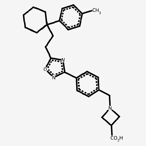 Cc1ccc(C2(CCc3nc(-c4ccc(CN5CC(C(=O)O)C5)cc4)no3)CCCCC2)cc1